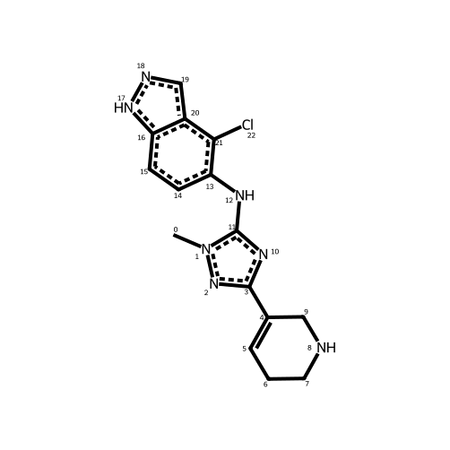 Cn1nc(C2=CCCNC2)nc1Nc1ccc2[nH]ncc2c1Cl